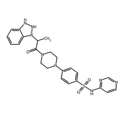 CC(C(=O)N1CCN(c2ccc(S(=O)(=O)Nc3ccncn3)cc2)CC1)N1NNc2ccccc21